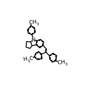 Cc1ccc(C(=Cc2ccc3c(c2)C2CCCC2N3c2ccc(C)cc2)c2ccc(C)cc2)cc1